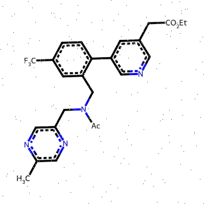 CCOC(=O)Cc1cncc(-c2ccc(C(F)(F)F)cc2CN(Cc2cnc(C)cn2)C(C)=O)c1